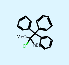 CCCCC(Cl)(OC)C(c1ccccc1)(c1ccccc1)c1ccccc1